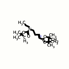 CCCN(CC/C=C/B1OC(C)(C)C(C)(C)O1)C(=O)OC(C)(C)C